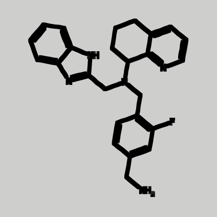 NCc1ccc(CN(Cc2nc3ccccc3[nH]2)C2CCCc3cccnc32)c(F)c1